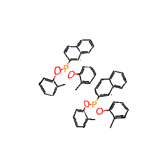 Cc1ccccc1OP(Oc1ccccc1C)c1[c]c2ccccc2cc1.Cc1ccccc1OP(Oc1ccccc1C)c1[c]c2ccccc2cc1